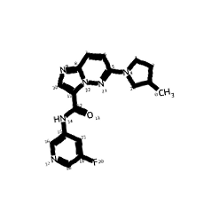 CC1CCN(c2ccc3ncc(C(=O)Nc4cncc(F)c4)n3n2)C1